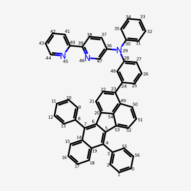 c1ccc(-c2c3c(c(-c4ccccc4)c4ccccc24)-c2ccc(-c4cccc(N(c5ccccc5)c5ccc(-c6ccccn6)nc5)c4)c4cccc-3c24)cc1